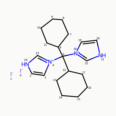 [I-].[I-].c1c[n+](C(C2CCCCC2)(C2CCCCC2)[n+]2cc[nH]c2)c[nH]1